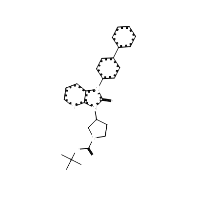 CC(C)(C)OC(=O)N1CCC(n2c(=O)n(-c3ccc(-c4ccccc4)cc3)c3cccnc32)C1